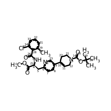 COC(=O)[C@H](Cc1ccc(C2=CCN(C(=O)OC(C)(C)C)CC2)cn1)NC(=O)c1c(C)cccc1Cl